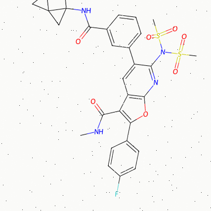 CNC(=O)c1c(-c2ccc(F)cc2)oc2nc(N(S(C)(=O)=O)S(C)(=O)=O)c(-c3cccc(C(=O)NC45CC6CC64C5)c3)cc12